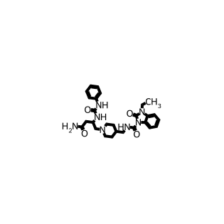 CCn1c(=O)n(C(=O)NCC2CCN(CC(CC(N)=O)NC(=O)Nc3ccccc3)CC2)c2ccccc21